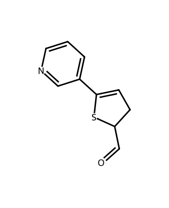 O=CC1CC=C(c2cccnc2)S1